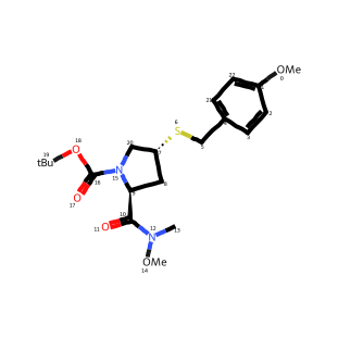 COc1ccc(CS[C@@H]2C[C@@H](C(=O)N(C)OC)N(C(=O)OC(C)(C)C)C2)cc1